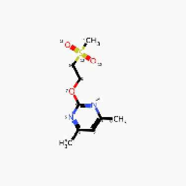 Cc1[c]c(C)nc(OCCS(C)(=O)=O)n1